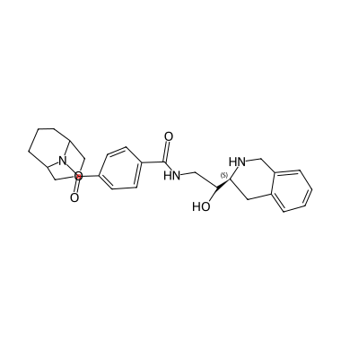 O=C(NCC(O)[C@@H]1Cc2ccccc2CN1)c1ccc(C(=O)N2C3CCCC2COC3)cc1